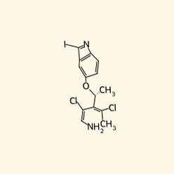 C/C(Cl)=C(\C(Cl)=C/N)[C@@H](C)Oc1ccc2c(c1)C(I)=N2